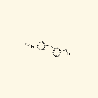 CNc1ccc(Nc2cc[c]c(OC)c2)cc1